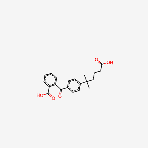 CC(C)(CCCC(=O)O)c1ccc(C(=O)c2ccccc2C(=O)O)cc1